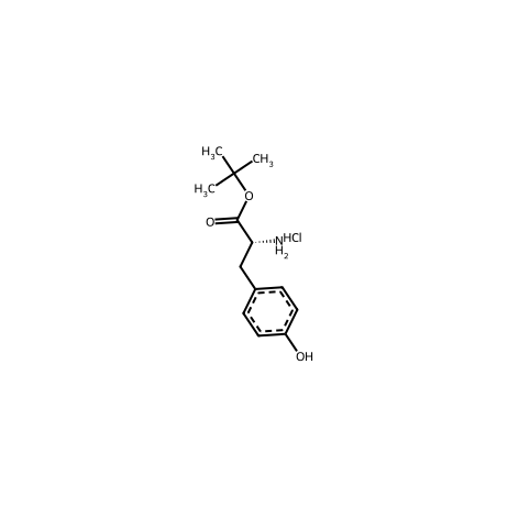 CC(C)(C)OC(=O)[C@H](N)Cc1ccc(O)cc1.Cl